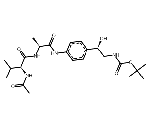 CC(=O)N[C@H](C(=O)N[C@@H](C)C(=O)Nc1ccc([C@@H](O)CNC(=O)OC(C)(C)C)cc1)C(C)C